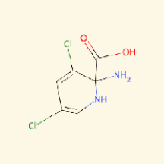 NC1(C(=O)O)NC=C(Cl)C=C1Cl